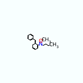 CCCCN(OC)C1=CC=CCC1=Cc1ccccc1